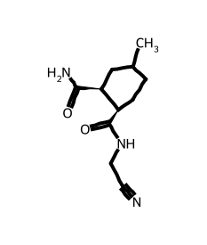 CC1CC[C@@H](C(=O)NCC#N)[C@@H](C(N)=O)C1